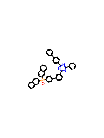 O=P(c1ccc(-c2cccc(-c3nc(-c4ccccc4)nc(-c4ccc(-c5ccccc5)cc4)n3)c2)cc1)(c1ccc2ccccc2c1)c1ccc2ccccc2c1